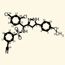 COc1ccc(C2CC(C(NS(=O)(=O)c3cccc(C#N)c3)c3ccc(Cl)cc3Cl)=NN2)cc1